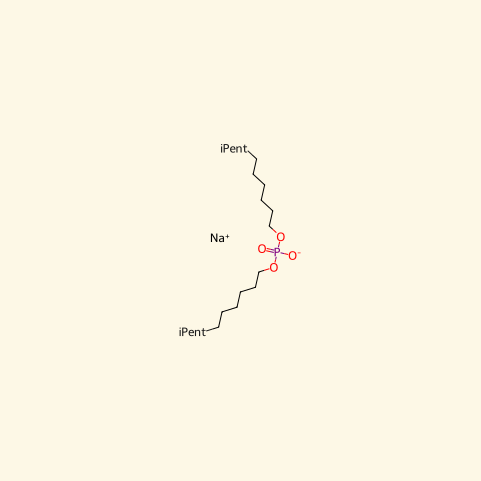 CCCC(C)CCCCCCOP(=O)([O-])OCCCCCCC(C)CCC.[Na+]